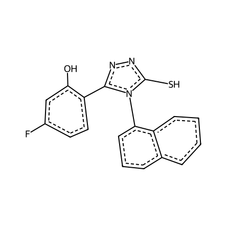 Oc1cc(F)ccc1-c1nnc(S)n1-c1cccc2ccccc12